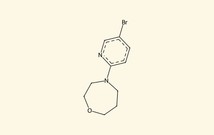 Brc1ccc(N2CCCOCC2)nc1